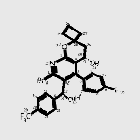 CC(C)c1nc2c(c(-c3ccc(F)cc3)c1[C@@H](O)c1ccc(C(F)(F)F)cc1)[C@@H](O)CC1(CCC1)O2